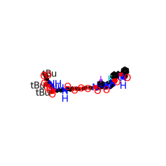 CC(C)(C)OC(=O)CC[C@H](NC(=O)N[C@@H](CCCCNC(=O)CCOCCOCCOCCNC(=O)c1cc(I)cc(C(=O)N2CCN(C(=O)c3cc(Cc4n[nH]c(=O)c5ccccc45)ccc3F)CC2)c1)C(=O)OC(C)(C)C)C(=O)OC(C)(C)C